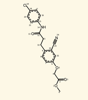 COC(=O)COc1ccc(CCC(=O)Nc2ccc(Cl)cn2)c(C#N)c1